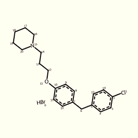 Br.Clc1ccc(Cc2ccc(OCCCN3CCCCC3)cc2)cc1